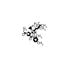 CC(=O)N1C[C@H](C(=O)Nc2ccc(C)cc2C)[C@@H](c2nnc(CCC(C)(C)C(C)C)n2C2CC2)C1